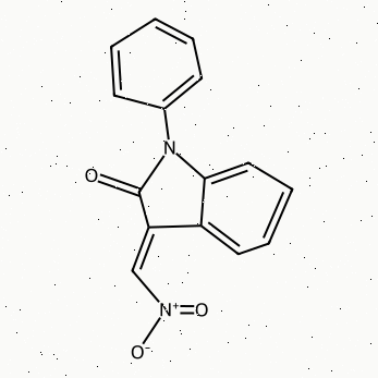 O=C1/C(=C/[N+](=O)[O-])c2ccccc2N1c1ccccc1